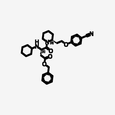 N#Cc1ccc(OCC[C@H]2CCCCN2C(=O)[C@H](CC(=O)OCc2ccccc2)NC2CCCCC2)cc1